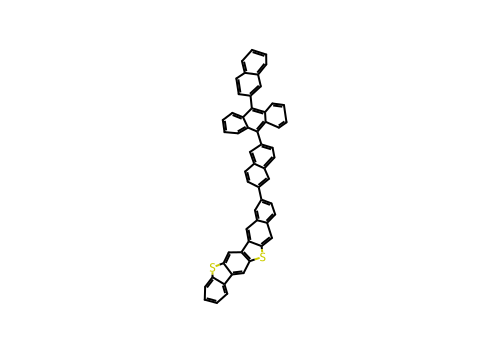 c1ccc2cc(-c3c4ccccc4c(-c4ccc5cc(-c6ccc7cc8sc9cc%10c(cc9c8cc7c6)sc6ccccc6%10)ccc5c4)c4ccccc34)ccc2c1